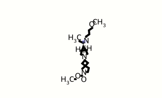 CCOC(=O)N1CCC2(CC(N3C[C@@H]4[C@H](C3)[C@H]4/C(CC)=N/CCCCOC)C2)C1